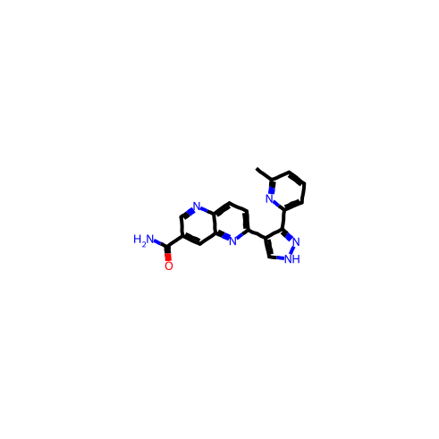 Cc1cccc(-c2n[nH]cc2-c2ccc3ncc(C(N)=O)cc3n2)n1